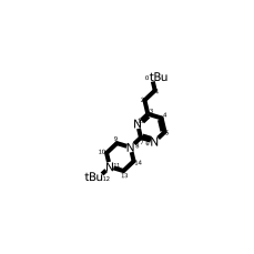 CC(C)(C)CCc1ccnc(N2CCN(C(C)(C)C)CC2)n1